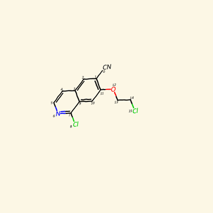 N#Cc1cc2ccnc(Cl)c2cc1OCCCl